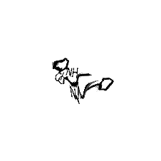 CCc1c(C(=O)Nc2ccccc2Cl)nc(C)n1-c1ccccc1